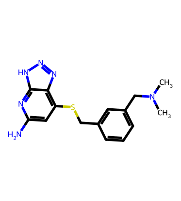 CN(C)Cc1cccc(CSc2cc(N)nc3[nH]nnc23)c1